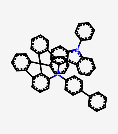 c1ccc(-c2ccc(N(c3cccc4c3C3(c5ccccc5-c5ccccc53)c3ccccc3-4)c3cccc4c3c3ccccc3n4-c3ccccc3)cc2)cc1